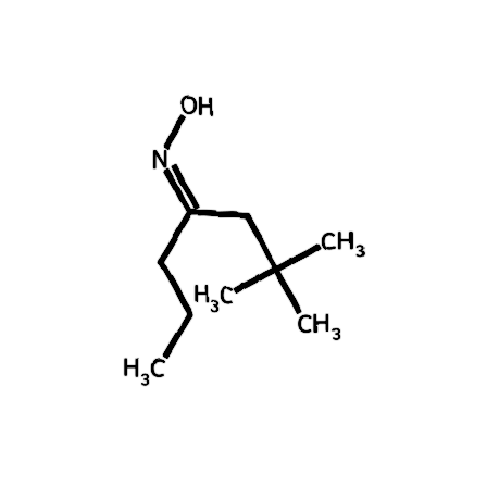 CCC/C(CC(C)(C)C)=N/O